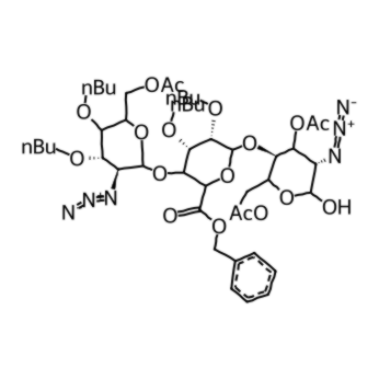 CCCCOC1C(COC(C)=O)OC(OC2C(C(=O)OCc3ccccc3)OC(O[C@@H]3C(COC(C)=O)OC(O)[C@@H](N=[N+]=[N-])C3OC(C)=O)[C@@H](OCCCC)[C@H]2OCCCC)[C@@H](N=[N+]=[N-])[C@@H]1OCCCC